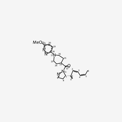 C=C(/C=C\C=C/C)[C@@H]1CC=NN1C(=O)C1CCN(c2ccc(OC)nn2)CC1